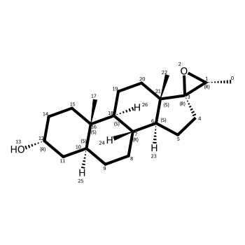 C[C@H]1O[C@@]12CC[C@H]1[C@@H]3CC[C@H]4C[C@H](O)CC[C@]4(C)[C@H]3CC[C@@]12C